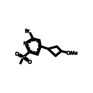 COC1CC(c2cc(Br)nc(S(C)(=O)=O)c2)C1